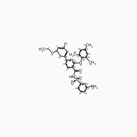 CCOC1C=C(F)C=C(c2ccc(C(=O)NS(=O)(=O)c3cccc(N)n3)c(Oc3c(C)cc(C)cc3C)n2)C1